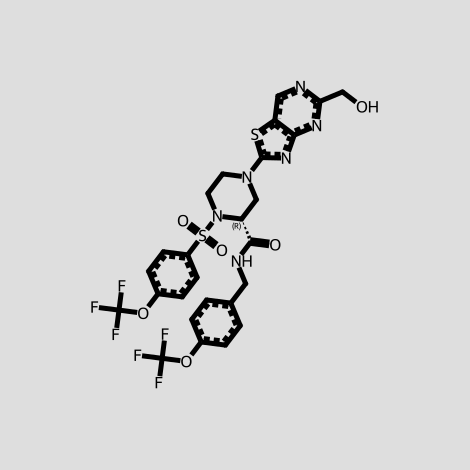 O=C(NCc1ccc(OC(F)(F)F)cc1)[C@H]1CN(c2nc3nc(CO)ncc3s2)CCN1S(=O)(=O)c1ccc(OC(F)(F)F)cc1